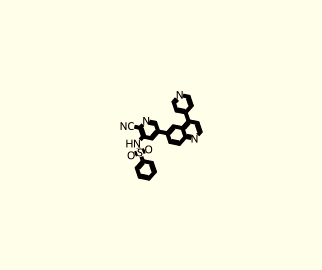 N#Cc1ncc(-c2ccc3nccc(-c4ccncc4)c3c2)cc1NS(=O)(=O)c1ccccc1